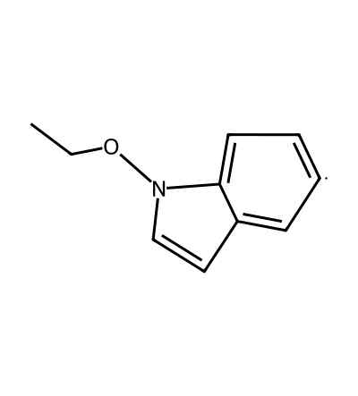 CCOn1ccc2c[c]ccc21